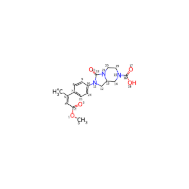 COC(=O)/C=C(/C)c1ccc(N2CC3CN(C(=O)O)CCN3C2=O)cc1